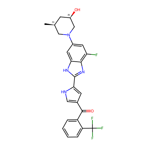 C[C@H]1C[C@@H](O)CN(c2cc(F)c3nc(-c4cc(C(=O)c5ccccc5C(F)(F)F)c[nH]4)[nH]c3c2)C1